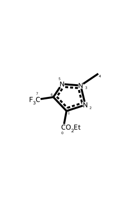 CCOC(=O)c1nn(C)nc1C(F)(F)F